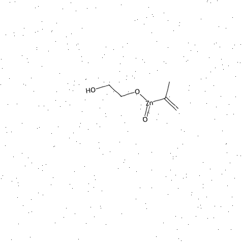 C=[C](C)[Zn](=[O])[O]CCO